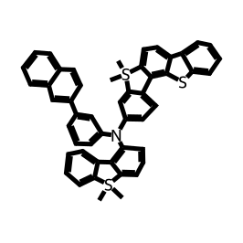 CS1(C)c2ccccc2-c2c(N(c3cccc(-c4ccc5ccccc5c4)c3)c3ccc4c(c3)S(C)(C)c3ccc5c(sc6ccccc65)c3-4)cccc21